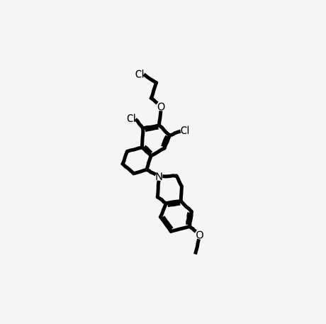 COc1ccc2c(c1)CCN(C1CCCc3c1cc(Cl)c(OCCCl)c3Cl)C2